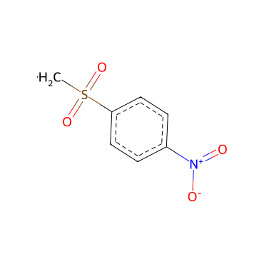 [CH2]S(=O)(=O)c1ccc([N+](=O)[O-])cc1